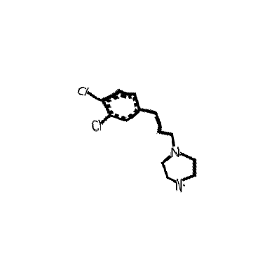 Clc1ccc(C=CCN2CC[N]CC2)cc1Cl